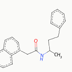 CC(CCc1ccccc1)NC(=O)Cc1cccc2ccccc12